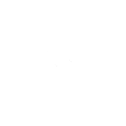 COCN(c1ccc(C)cn1)C1CC1